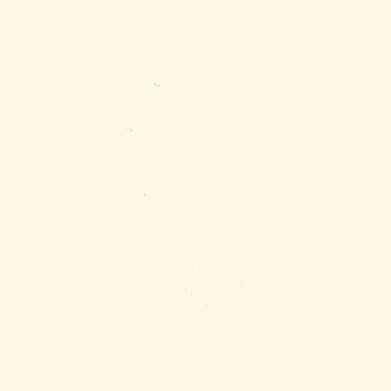 O=C(OC1C2CC3CC1C(I)C(O)(C3)C2)N1CCC(Nc2ccc(F)cn2)C1